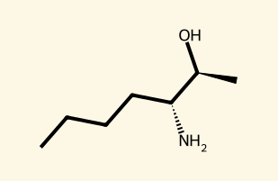 CCCC[C@@H](N)[C@H](C)O